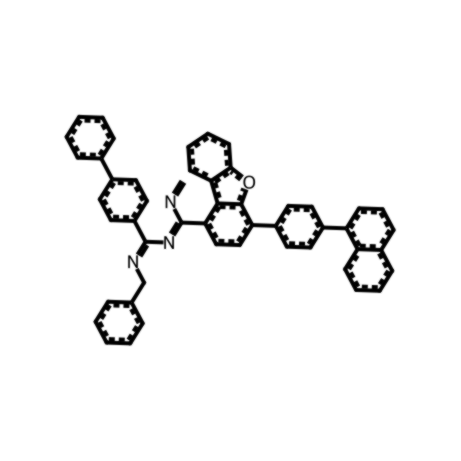 C=N/C(=N\C(=N/Cc1ccccc1)c1ccc(-c2ccccc2)cc1)c1ccc(-c2ccc(-c3cccc4ccccc34)cc2)c2oc3ccccc3c12